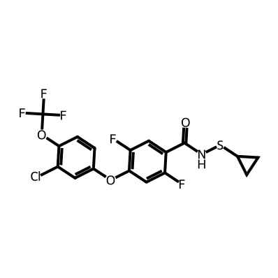 O=C(NSC1CC1)c1cc(F)c(Oc2ccc(OC(F)(F)F)c(Cl)c2)cc1F